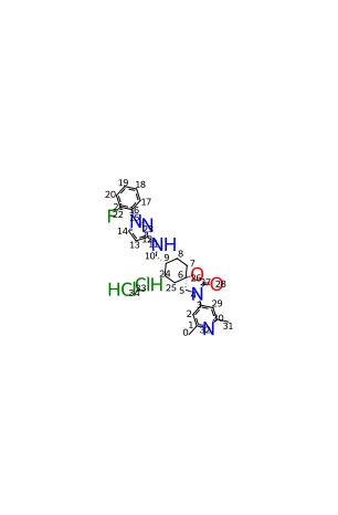 Cc1cc(N2C[C@]3(CC[C@@H](CNc4ccn(-c5ccccc5F)n4)CC3)OC2=O)cc(C)n1.Cl.Cl